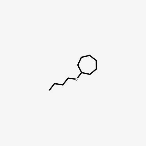 CCCCOC1CCCCCC1